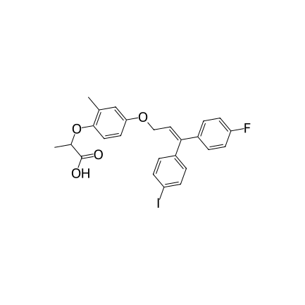 Cc1cc(OC/C=C(/c2ccc(F)cc2)c2ccc(I)cc2)ccc1OC(C)C(=O)O